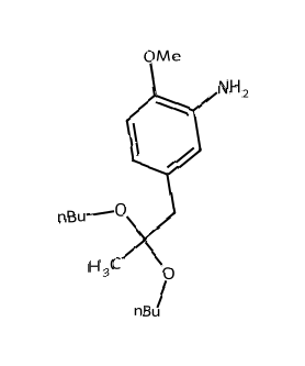 CCCCOC(C)(Cc1ccc(OC)c(N)c1)OCCCC